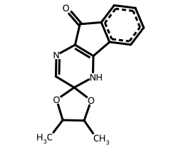 CC1OC2(C=NC3=C(N2)c2ccccc2C3=O)OC1C